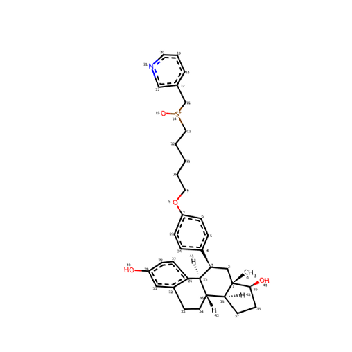 C[C@]12C[C@H](c3ccc(OCCCCC[S+]([O-])Cc4cccnc4)cc3)[C@@H]3c4ccc(O)cc4CC[C@H]3[C@@H]1CC[C@@H]2O